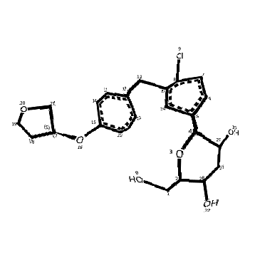 OCC1OC(c2ccc(Cl)c(Cc3ccc(O[C@H]4CCOC4)cc3)c2)C(O)CC1O